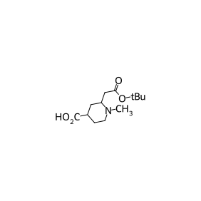 CN1CCC(C(=O)O)CC1CC(=O)OC(C)(C)C